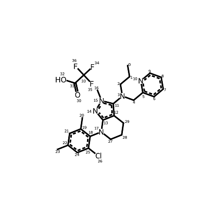 CCCN(Cc1ccccn1)c1c2c(nn1C)N(c1c(C)cc(C)cc1Cl)CCC2.O=C(O)C(F)(F)F